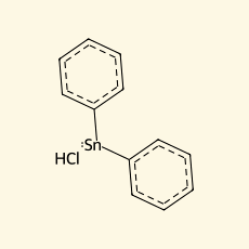 Cl.c1cc[c]([Sn][c]2ccccc2)cc1